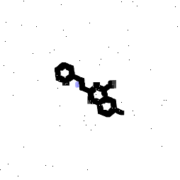 Cc1ccc2nc(/C=C/c3ccccn3)nc(Cl)c2c1